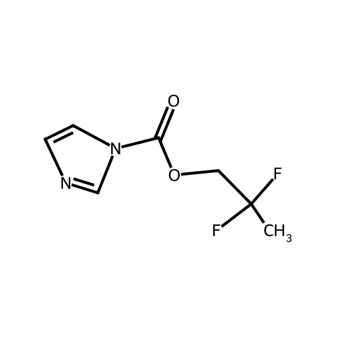 CC(F)(F)COC(=O)n1ccnc1